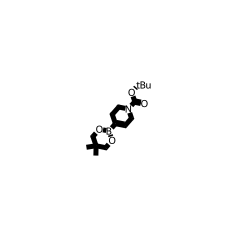 CC1(C)COB(C2=CCN(C(=O)OC(C)(C)C)CC2)OC1